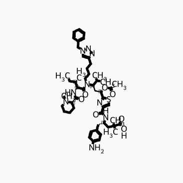 CC[C@H](C)[C@H](NC(=O)[C@H]1CCCCN1C)C(=O)N(CCCCc1cn(Cc2ccccc2)nn1)[C@H](C[C@@H](OC(C)=O)c1nc(C(=O)N[C@@H](Cc2ccc(N)cc2)CC(C)(C)C(=O)O)cs1)C(C)C